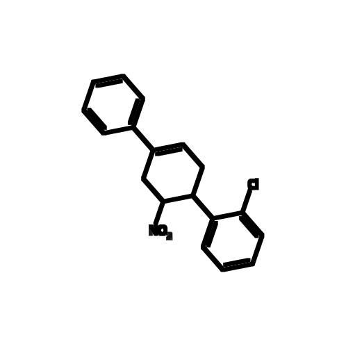 O=[N+]([O-])C1CC(c2ccccc2)=CCC1c1ccccc1Cl